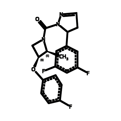 C[C@H]1[C@@H](Oc2ccc(F)cc2)CN1C(=O)N1N=CCC1c1cc(F)cc(F)c1